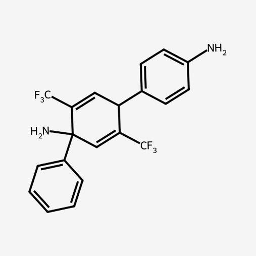 Nc1ccc(C2C=C(C(F)(F)F)C(N)(c3ccccc3)C=C2C(F)(F)F)cc1